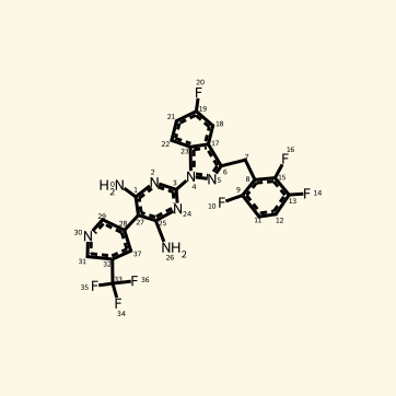 Nc1nc(-n2nc(Cc3c(F)ccc(F)c3F)c3cc(F)ccc32)nc(N)c1-c1cncc(C(F)(F)F)c1